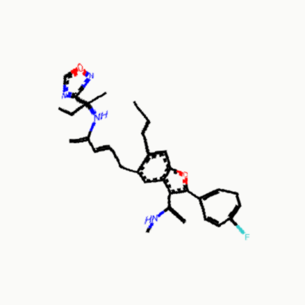 C=C(/C=C/Cc1cc2c(C(=C)NC)c(C3=CCC=C(F)C=C3)oc2cc1CCC)NC(C)(CC)c1ncon1